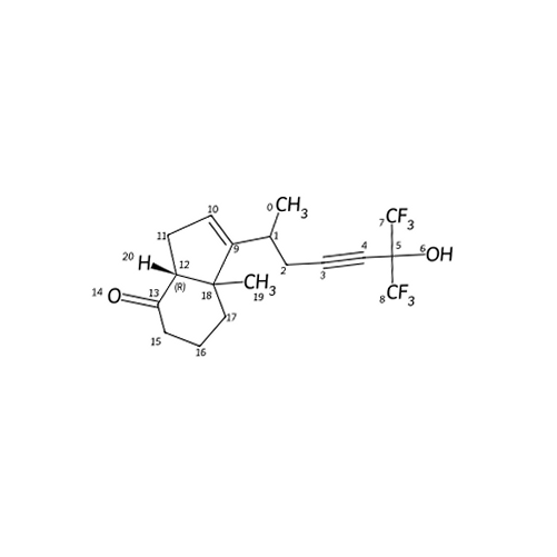 CC(CC#CC(O)(C(F)(F)F)C(F)(F)F)C1=CC[C@H]2C(=O)CCCC12C